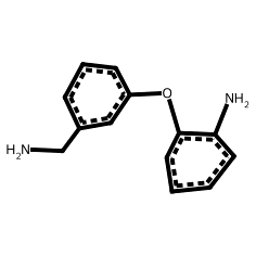 NCc1cccc(Oc2ccccc2N)c1